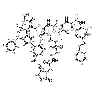 C[C@H](NC(=O)OCc1ccccc1)C(=O)N[C@@H](C)C(=O)N[C@@H](CC(=O)N[C@@H](CCN(C(=O)CO)[C@@H](c1cc(-c2cc(F)ccc2F)cn1Cc1ccccc1)C(C)(C)C)C(=O)NCCS(=O)(=O)CCNC(=O)CN1C(=O)C=CC1=O)C(N)=O